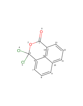 O=C1OC(Cl)(Cl)c2cccc3cccc1c23